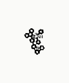 c1ccc(C2N=C(c3c(-c4ccc(-c5ccc6c7cccc8c9ccccc9n(c6c5)c87)cc4)c4ccccc4c4ccccc34)NC(c3ccccc3)N2)cc1